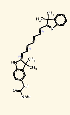 CNC(=O)Nc1ccc2c(c1)C(C)(C)\C(=C/C=C/C=C/C=C/C1=Nc3ccccc3C1(C)C)N2